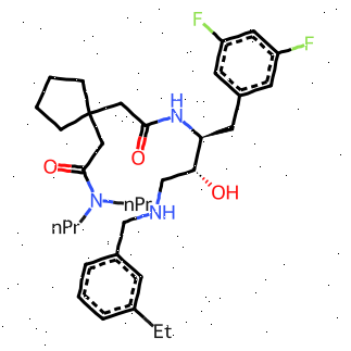 CCCN(CCC)C(=O)CC1(CC(=O)N[C@@H](Cc2cc(F)cc(F)c2)[C@H](O)CNCc2cccc(CC)c2)CCCC1